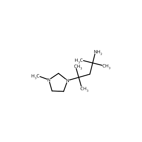 CN1CCN(C(C)(C)CC(C)(C)N)C1